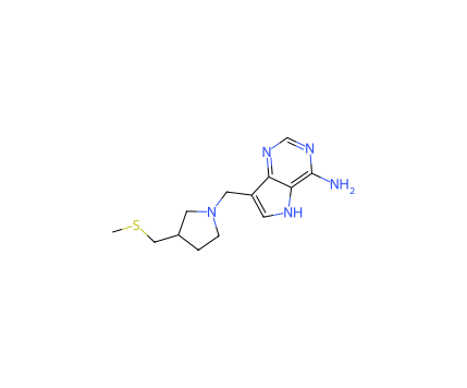 CSCC1CCN(Cc2c[nH]c3c(N)ncnc23)C1